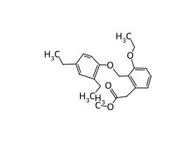 CCOc1cccc(CC(=O)OC)c1COc1ccc(CC)cc1CC